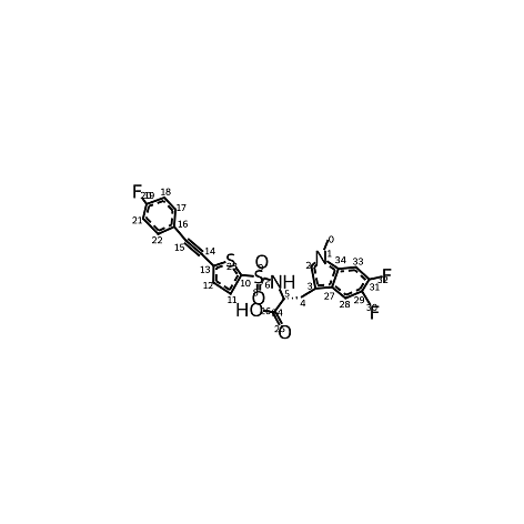 Cn1cc(C[C@@H](NS(=O)(=O)c2ccc(C#Cc3ccc(F)cc3)s2)C(=O)O)c2cc(F)c(F)cc21